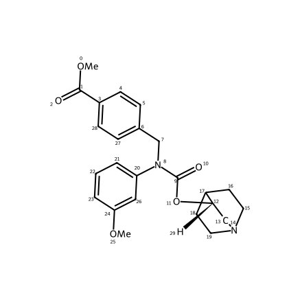 COC(=O)c1ccc(CN(C(=O)O[C@H]2CN3CCC2CC3)c2cccc(OC)c2)cc1